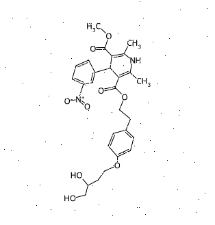 COC(=O)C1=C(C)NC(C)=C(C(=O)OCCc2ccc(OCCC(O)CO)cc2)C1c1cccc([N+](=O)[O-])c1